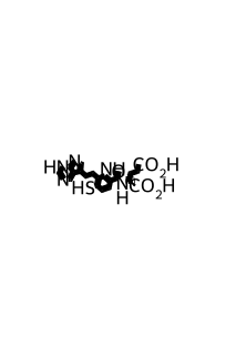 Nc1c(C(=O)N[C@@H](CCC(=O)O)C(=O)O)ccc(S)c1CCc1cnc2[nH]cncc1-2